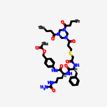 CC(C)CCC(=O)N1CN(C(=O)CCSCC(=O)N[C@H](Cc2ccccc2)C(=O)N[C@@H](CCCNC(N)=O)C(=O)Nc2ccc(COC(=O)C(C)(C)C)cc2)CN(C(=O)CCC(C)(C)C)C1